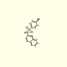 O=S(=O)(Nc1ccc2ccccc2n1)c1ccc(Br)cc1